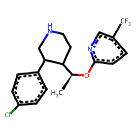 C[C@H](Oc1ccc(C(F)(F)F)cn1)C1CCNCC1c1ccc(Cl)cc1